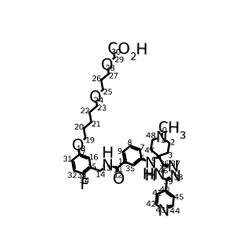 CN1CCC(Nc2cccc(C(=O)NCc3cc(OCCCCCOCCCOCC(=O)O)ccc3F)c2)(c2nnc(-c3ccncc3)[nH]2)CC1